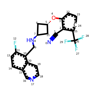 N#Cc1c(O[C@H]2C[C@H](NCc3c(F)ccc4cnccc34)C2)cccc1C(F)(F)F